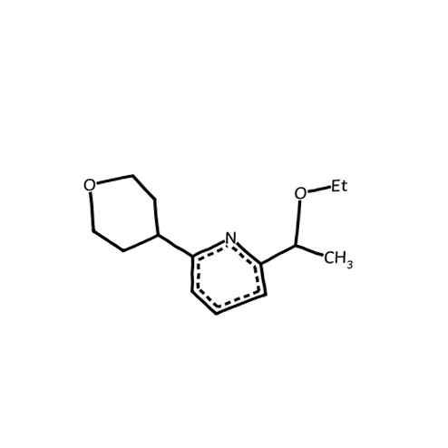 CCOC(C)c1cccc(C2CCOCC2)n1